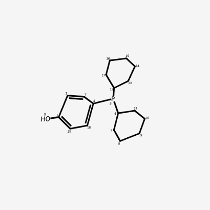 Oc1ccc(P(C2CCCCC2)C2CCCCC2)cc1